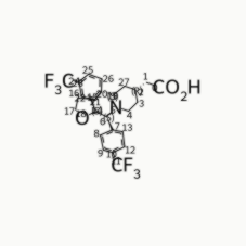 O=C(O)C[C@@H]1CCN([C@@H](c2ccc(C(F)(F)F)cc2)[C@@H]2CCCO2)[C@H](c2ccc(C(F)(F)F)cc2)C1